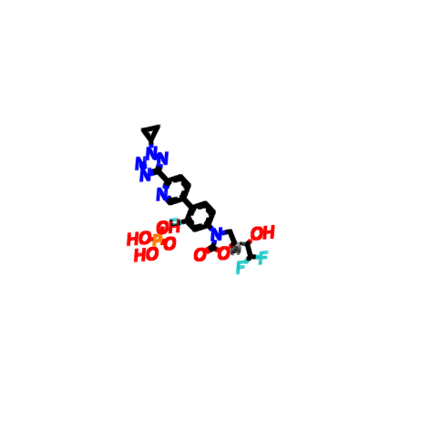 O=C1O[C@@H](C(O)C(F)F)CN1c1ccc(-c2ccc(-c3nnn(C4CC4)n3)nc2)c(F)c1.O=P(O)(O)O